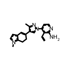 C=Cc1c(-n2cc(C3=Cc4ccn(C)c4CC3)c(C)n2)ccnc1N